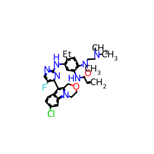 C=CC(=O)Nc1cc(Nc2ncc(F)c(-c3c4n(c5cc(Cl)ccc35)CCOC4)n2)c(CC)cc1N(C)CCN(C)C